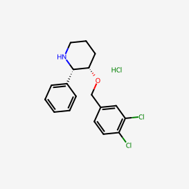 Cl.Clc1ccc(CO[C@H]2CCCN[C@H]2c2ccccc2)cc1Cl